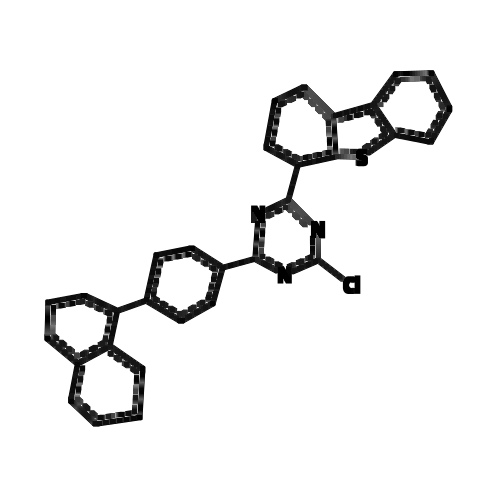 Clc1nc(-c2ccc(-c3cccc4ccccc34)cc2)nc(-c2cccc3c2sc2ccccc23)n1